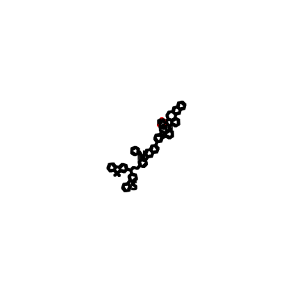 CC1(C)c2ccccc2-c2ccc(C(CCc3ccc4c5cc6ccc(-c7ccc8sc9c(N(c%10ccccc%10)c%10cccc%11c%10C(c%10ccccc%10)CCc%10cc%12ccccc%12cc%10-%11)cccc9c8c7)cc6cc5n(-c5ccccc5)c4c3)c3ccc4sc5ccccc5c4c3)cc21